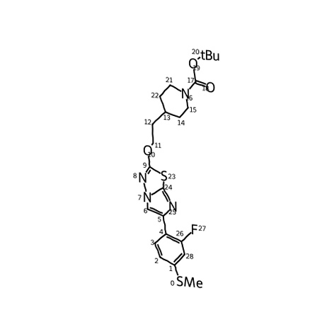 CSc1ccc(-c2cn3nc(OCCC4CCN(C(=O)OC(C)(C)C)CC4)sc3n2)c(F)c1